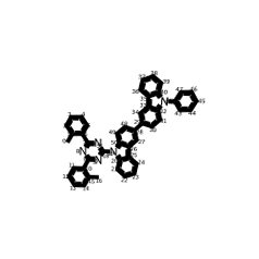 Cc1ccccc1-c1nc(-c2ccccc2C)nc(-n2c3ccccc3c3cc(-c4ccc5c(c4)c4ccccc4n5-c4ccccc4)ccc32)n1